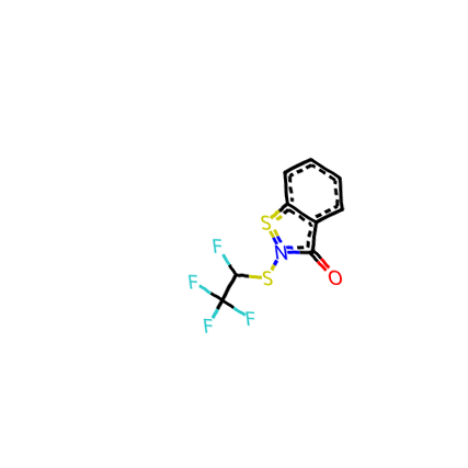 O=c1c2ccccc2sn1SC(F)C(F)(F)F